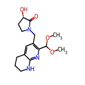 COC(OC)c1nc2c(cc1CN1CC[C@@H](O)C1=O)CCCN2